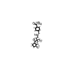 CC(C)(C)C(=O)c1ccc(CNCCC(C)(CCl)C(=O)c2cccc(Cl)c2)cc1